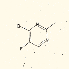 Cc1n[c]c(F)c(Cl)n1